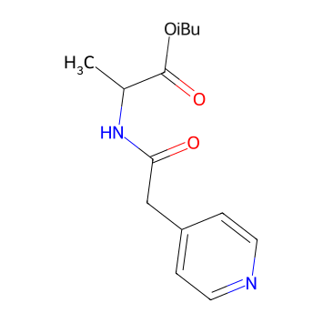 CC(C)COC(=O)C(C)NC(=O)Cc1ccncc1